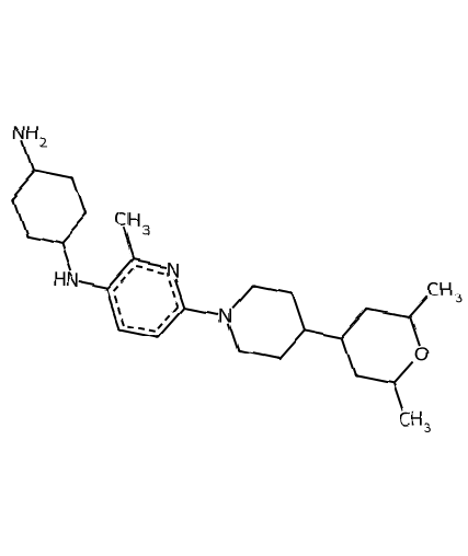 Cc1nc(N2CCC(C3CC(C)OC(C)C3)CC2)ccc1NC1CCC(N)CC1